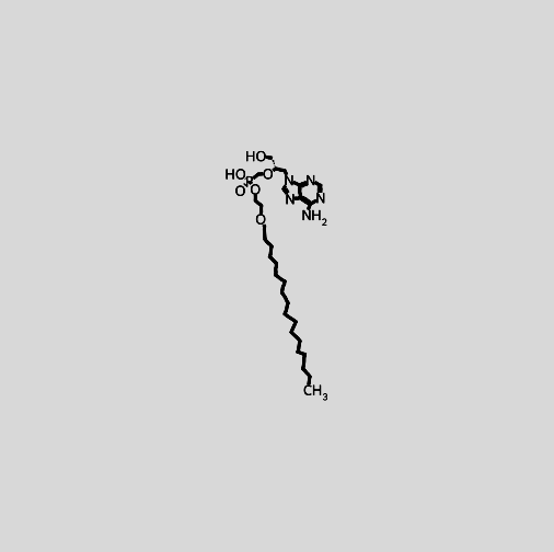 CCCCCCCCCCCCCCCCCCOCCOP(=O)(O)CO[C@H](CO)Cn1cnc2c(N)ncnc21